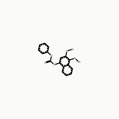 CCOc1cc(OC(=O)Oc2ccccc2)c2ccccc2c1OCC